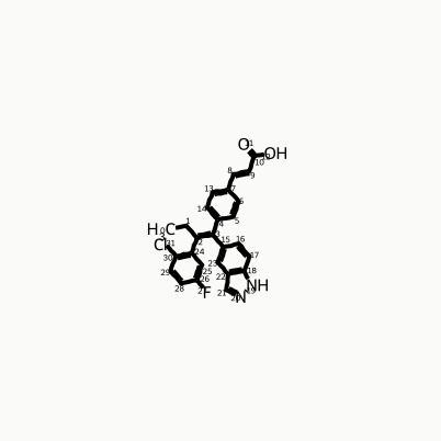 CCC(=C(c1ccc(C=CC(=O)O)cc1)c1ccc2[nH]ncc2c1)c1cc(F)ccc1Cl